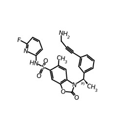 Cc1cc2c(cc1S(=O)(=O)Nc1cccc(F)n1)oc(=O)n2[C@H](C)c1cccc(C#CCN)c1